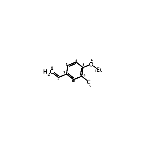 C=Cc1ccc(OCC)c(Cl)c1